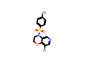 N#Cc1ccc(S(=O)(=O)N2CCOc3c(Br)cncc32)cc1